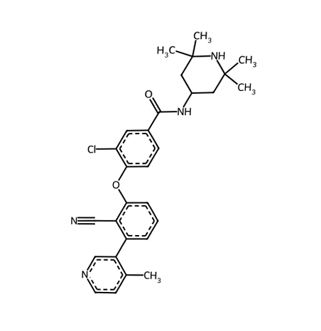 Cc1ccncc1-c1cccc(Oc2ccc(C(=O)NC3CC(C)(C)NC(C)(C)C3)cc2Cl)c1C#N